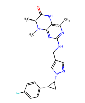 Cc1nc(NCc2cnn([C@@H]3C[C@@H]3c3ccc(F)cc3)c2)nc2c1NC(=O)[C@H](C)N2C